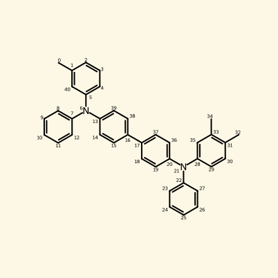 Cc1cccc(N(c2ccccc2)c2ccc(-c3ccc(N(c4ccccc4)c4ccc(C)c(C)c4)cc3)cc2)c1